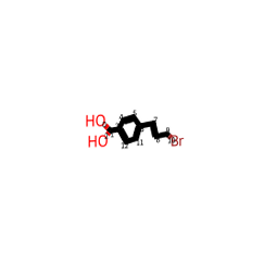 OC(O)c1ccc(/C=C/CBr)cc1